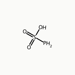 O=S(=O)(O)P